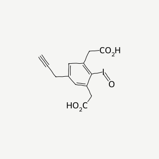 C#CCc1cc(CC(=O)O)c(I=O)c(CC(=O)O)c1